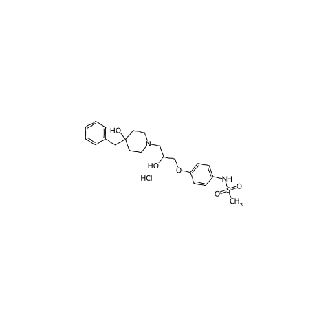 CS(=O)(=O)Nc1ccc(OCC(O)CN2CCC(O)(Cc3ccccc3)CC2)cc1.Cl